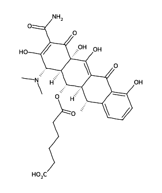 C[C@H]1c2cccc(O)c2C(=O)C2=C(O)[C@]3(O)C(=O)C(C(N)=O)=C(O)[C@@H](N(C)C)[C@@H]3[C@@H](OC(=O)CCCCC(=O)O)[C@@H]21